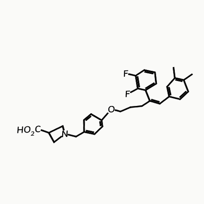 Cc1ccc(/C=C(/CCCOc2ccc(CN3CC(C(=O)O)C3)cc2)c2cccc(F)c2F)cc1C